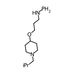 CC(C)CN1CCC(OCCCNP)CC1